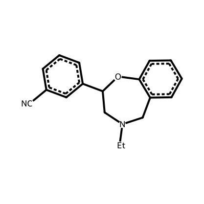 CCN1Cc2ccccc2OC(c2cccc(C#N)c2)C1